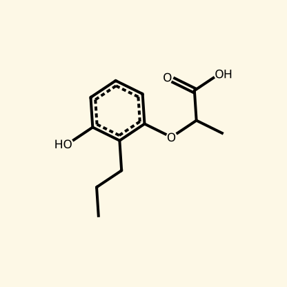 CCCc1c(O)cccc1OC(C)C(=O)O